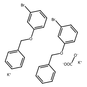 Brc1cccc(OCc2ccccc2)c1.Brc1cccc(OCc2ccccc2)c1.O=C([O-])[O-].[K+].[K+]